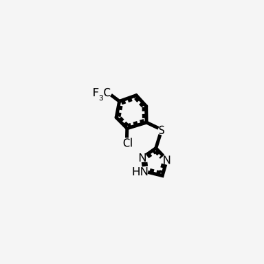 FC(F)(F)c1ccc(Sc2nc[nH]n2)c(Cl)c1